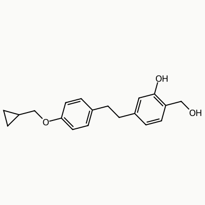 OCc1ccc(CCc2ccc(OCC3CC3)cc2)cc1O